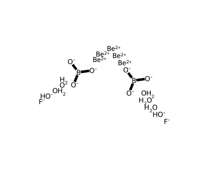 O.O.O.O.O.[Be+2].[Be+2].[Be+2].[Be+2].[Be+2].[F-].[F-].[O-]B([O-])[O-].[O-]B([O-])[O-].[OH-].[OH-]